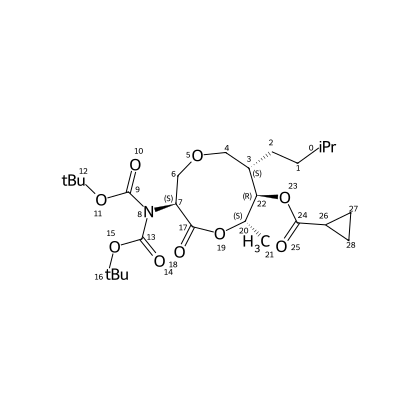 CC(C)CC[C@H]1COC[C@H](N(C(=O)OC(C)(C)C)C(=O)OC(C)(C)C)C(=O)O[C@@H](C)[C@@H]1OC(=O)C1CC1